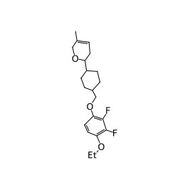 CCOc1ccc(OCC2CCC(C3CC=C(C)CO3)CC2)c(F)c1F